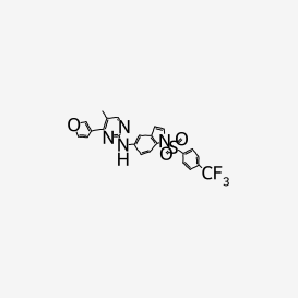 Cc1cnc(Nc2ccc3c(ccn3S(=O)(=O)c3ccc(C(F)(F)F)cc3)c2)nc1-c1ccoc1